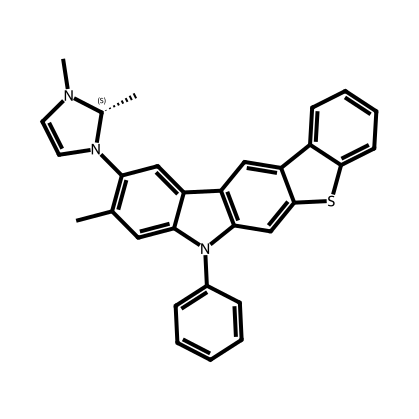 Cc1cc2c(cc1N1C=CN(C)[C@@H]1C)c1cc3c(cc1n2-c1ccccc1)sc1ccccc13